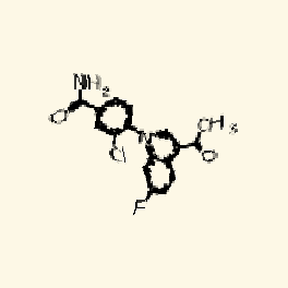 CC(=O)c1cn(-c2ccc(C(N)=O)cc2Cl)c2cc(F)ccc12